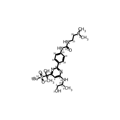 C[C@@H](CO)Nc1cc(C(C)(C)S(=O)(=O)C(C)(C)C)nc(-c2ccc(NC(=O)NCCN(C)C)cc2)n1